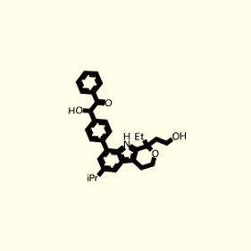 CCC1(CCO)OCCc2c1[nH]c1c(-c3ccc(C(O)C(=O)c4ccccc4)cc3)cc(C(C)C)cc21